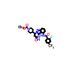 CC(C)(C)OC(=O)N1CCC(c2cc(=O)[nH]c3c4c(NC(=O)c5ccc(C(F)(F)F)cc5F)cccc4nn23)CC1